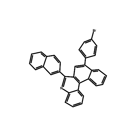 Brc1ccc(-c2cc3c(-c4ccc5ccccc5c4)nc4ccccc4c3c3ccccc23)cc1